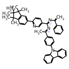 C=C(/N=C(\N=C(/C)c1ccc(-n2c3ccccc3c3ccccc32)cc1)c1ccc(-c2ccc3c(c2)C(C)(C)C(C)(C)C3(C)C)nc1)c1ccccc1